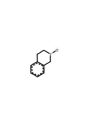 [O-][S+]1CCc2ccccc2C1